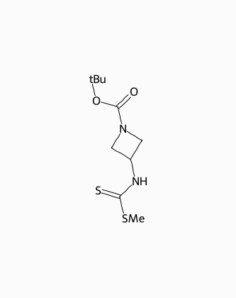 CSC(=S)NC1CN(C(=O)OC(C)(C)C)C1